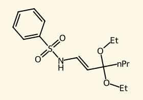 CCCC(C=CNS(=O)(=O)c1ccccc1)(OCC)OCC